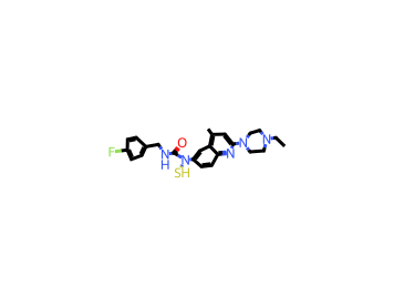 CCN1CCN(c2cc(C)c3cc(N(S)C(=O)NCc4ccc(F)cc4)ccc3n2)CC1